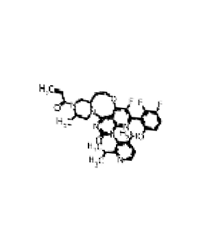 C=CC(=O)N1CC2CCOc3c(F)c(-c4c(O)ccc(F)c4F)nc4c3c(nc(=O)n4-c3c(C)ccnc3C(C)C)N2CC1C